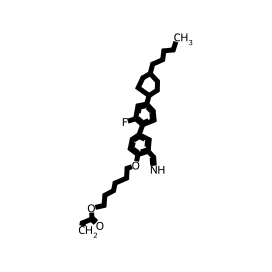 C=CC(=O)OCCCCCCOc1ccc(-c2ccc(C3CCC(CCCCC)CC3)cc2F)cc1C=N